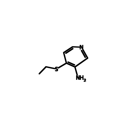 CCSc1ccncc1N